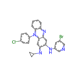 Clc1ccc(-n2c3c/c(=N\C4CC4)c(Nc4cncc(Br)c4)cc-3nc3ccccc32)cc1